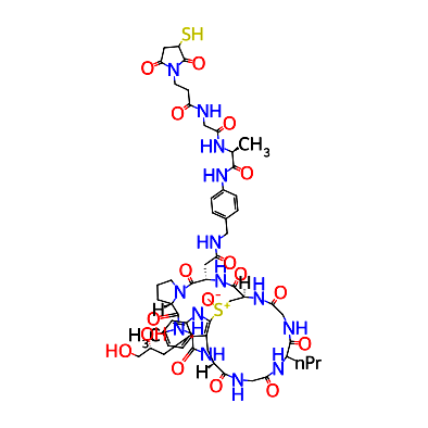 CCCC1NC(=O)CNC(=O)[C@H]2Cc3c([nH]c4ccccc34)[S+]([O-])C[C@H](NC(=O)CNC1=O)C(=O)N[C@@H](CC(=O)NCc1ccc(NC(=O)[C@H](C)NC(=O)CNC(=O)CCN3C(=O)CC(S)C3=O)cc1)C(=O)N1CCC[C@H]1C(=O)N(C)C(C[C@@H](O)CO)C(=O)N2